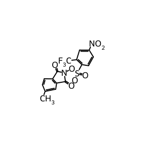 Cc1ccc2c(c1)C(=O)N(OS(=O)(=O)c1ccc([N+](=O)[O-])cc1C(F)(F)F)C2=O